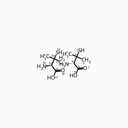 CC(C)(S)[C@@H](N)C(=O)O.CC(C)(S)[C@H](N)C(=O)O